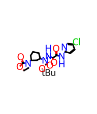 CC(C)(C)OC(=O)N(NC(=O)C(=O)Nc1ccc(Cl)cn1)C1CCC[C@H](N2CCOC2=O)C1